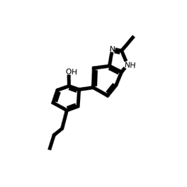 CCCc1ccc(O)c(-c2ccc3[nH]c(C)nc3c2)c1